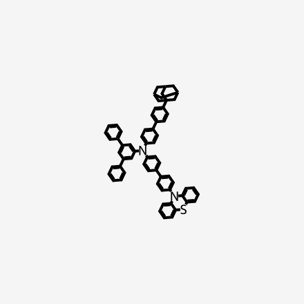 c1ccc(-c2cc(-c3ccccc3)cc(N(c3ccc(-c4ccc(N5c6ccccc6Sc6ccccc65)cc4)cc3)c3ccc(-c4ccc(C56CC7CC(CC(C7)C5)C6)cc4)cc3)c2)cc1